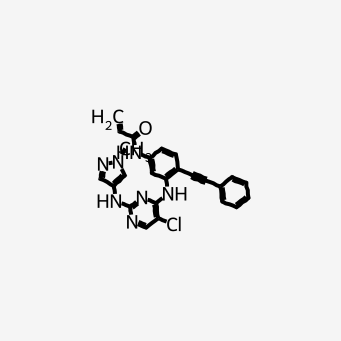 C=CC(=O)Nc1ccc(C#Cc2ccccc2)c(Nc2nc(Nc3cnn(C)c3)ncc2Cl)c1